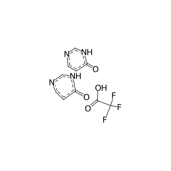 O=C(O)C(F)(F)F.O=c1ccnc[nH]1.O=c1ccnc[nH]1